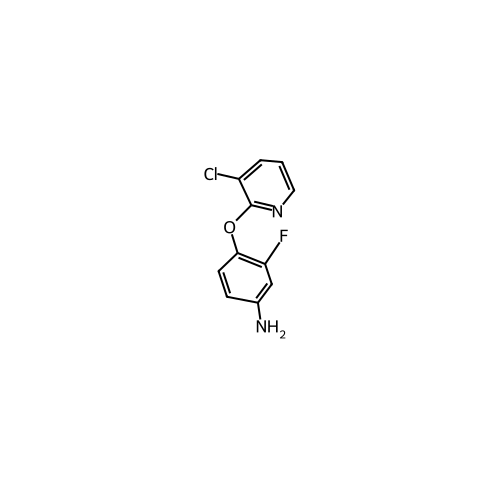 Nc1ccc(Oc2ncccc2Cl)c(F)c1